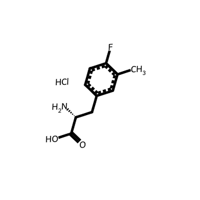 Cc1cc(C[C@@H](N)C(=O)O)ccc1F.Cl